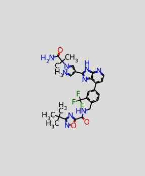 CC(C)(C)c1noc(C(=O)NCc2ccc(-c3ccnc4[nH]c(-c5cnn(C(C)(C)C(N)=O)c5)nc34)cc2C(F)(F)F)n1